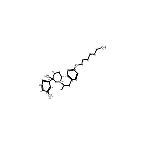 CC(Cc1ccc(OCCCCCCO)cc1)N1CCOC(O)(c2cccc(C(F)(F)F)c2)C1